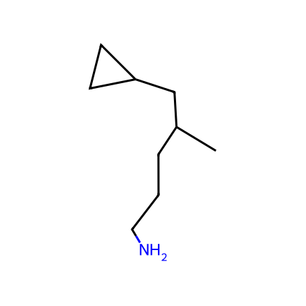 CC(CCCN)CC1CC1